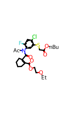 CCCCOC(=O)CSc1cc(N(C(C)=O)C(=O)C2=C(C(=O)OCCOCC)CCCC2)c(F)cc1Cl